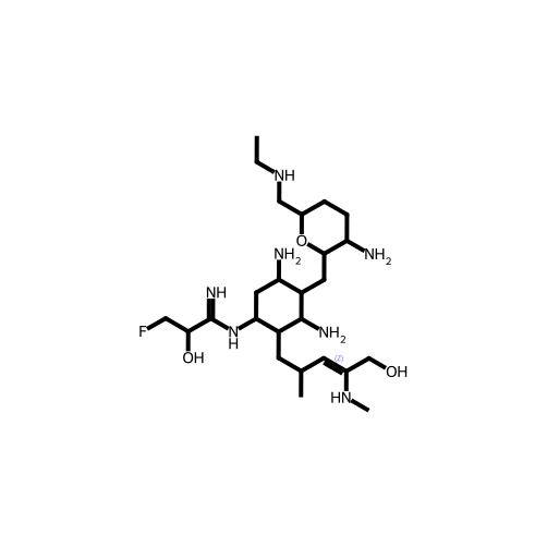 CCNCC1CCC(N)C(CC2C(N)CC(NC(=N)C(O)CF)C(CC(C)/C=C(/CO)NC)C2N)O1